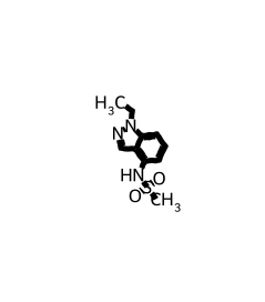 CCn1ncc2c(NS(C)(=O)=O)cccc21